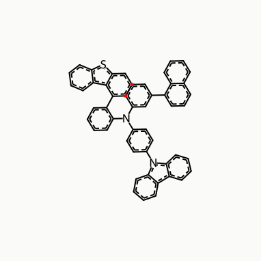 c1cc(-c2cccc3ccccc23)cc(N(c2ccc(-n3c4ccccc4c4ccccc43)cc2)c2ccccc2-c2cccc3sc4ccccc4c23)c1